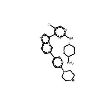 N[C@H]1CC[C@H](Nc2ncc(Cl)c(-c3cnc4ccc(-c5ccc(N6CCNCC6)nc5)cn34)n2)CC1